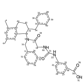 Cc1cc(C)c2c(c1)C(N(Cc1ccccc1)C(=O)CNC(=O)Nc1cccc(C(=O)O)c1)C(Cc1ccccc1)CC2